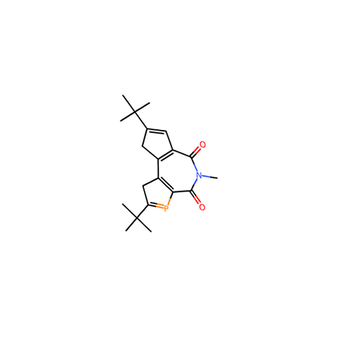 Cn1c(=O)c2c(c3c(c1=O)P=C(C(C)(C)C)C3)CC(C(C)(C)C)=C2